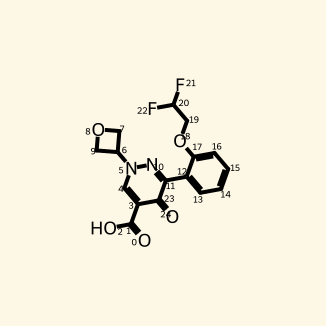 O=C(O)c1cn(C2COC2)nc(-c2ccccc2OCC(F)F)c1=O